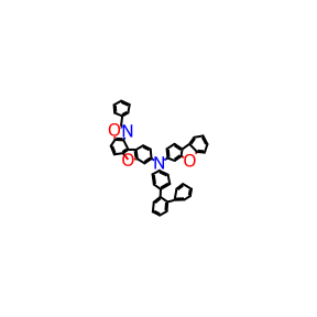 c1ccc(-c2nc3c(ccc4oc5cc(N(c6ccc(-c7ccccc7-c7ccccc7)cc6)c6ccc7c(c6)oc6ccccc67)ccc5c43)o2)cc1